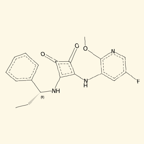 CC[C@@H](Nc1c(Nc2cc(F)cnc2OC)c(=O)c1=O)c1ccccc1